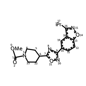 COC(=O)N1CCC(c2nc(-c3ccc4onc(C(C)C)c4c3)no2)CC1